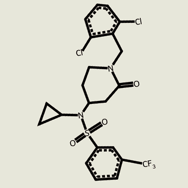 O=C1CC(N(C2CC2)S(=O)(=O)c2cccc(C(F)(F)F)c2)CCN1Cc1c(Cl)cccc1Cl